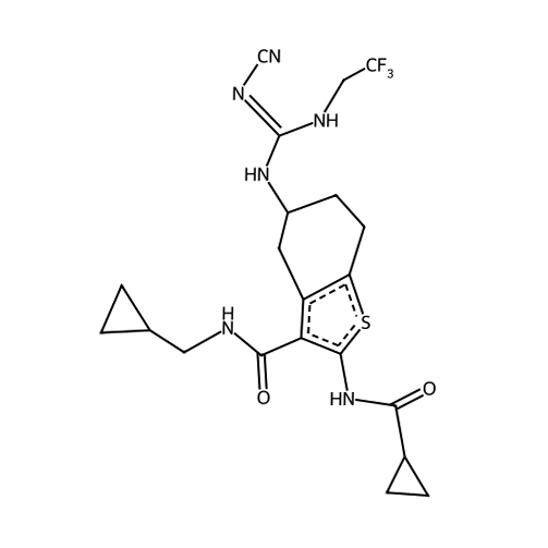 N#CN=C(NCC(F)(F)F)NC1CCc2sc(NC(=O)C3CC3)c(C(=O)NCC3CC3)c2C1